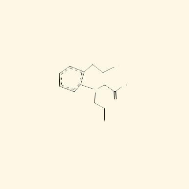 O=C(O)CN(CCO)c1ccccc1CCO